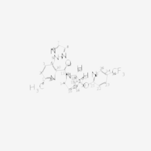 Cc1ccc(-n2nccn2)c(C(=O)N2CC3CC[C@H]2[C@H](Oc2ccc(C(F)(F)F)cn2)C3)n1